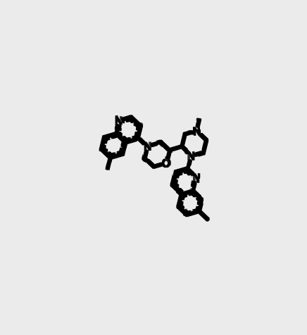 Cc1ccc2ccc(N3CCN(C)CC3C3CN(c4ccnc5ccc(C)cc45)CCO3)nc2c1